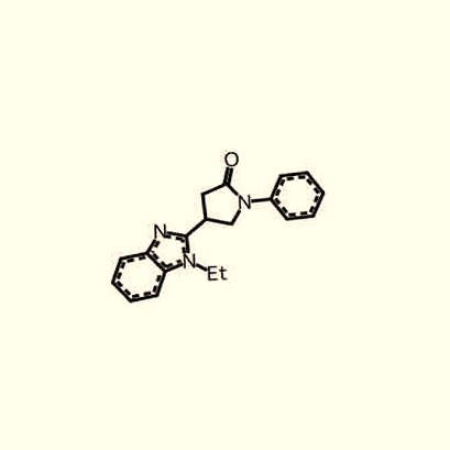 CCn1c(C2CC(=O)N(c3ccccc3)C2)nc2ccccc21